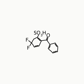 O=C(C1=C(S(=O)(=O)O)CC(F)(F)C=C1)c1ccccc1